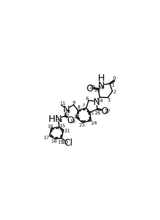 C=C1CCC(N2Cc3c(CN(C)C(=O)Nc4cccc(Cl)c4)cccc3C2=O)C(=O)N1